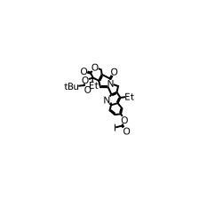 CCc1c2c(nc3ccc(OC(=O)I)cc13)-c1cc3c(c(=O)n1C2)COC(=O)[C@@]3(CC)OC(=O)C(C)(C)C